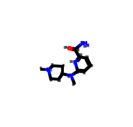 CN1CCC(N(C)c2cc[c]c(C(N)=O)n2)CC1